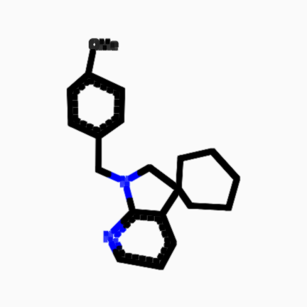 COc1ccc(CN2CC3(CCCCC3)c3cccnc32)cc1